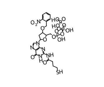 O=C(CCCS)Nc1nc2c(ncn2C2CC(OCc3ccccc3[N+](=O)[O-])C(COP(=O)(O)OP(=O)(O)OP(=O)(O)O)O2)c(=O)[nH]1